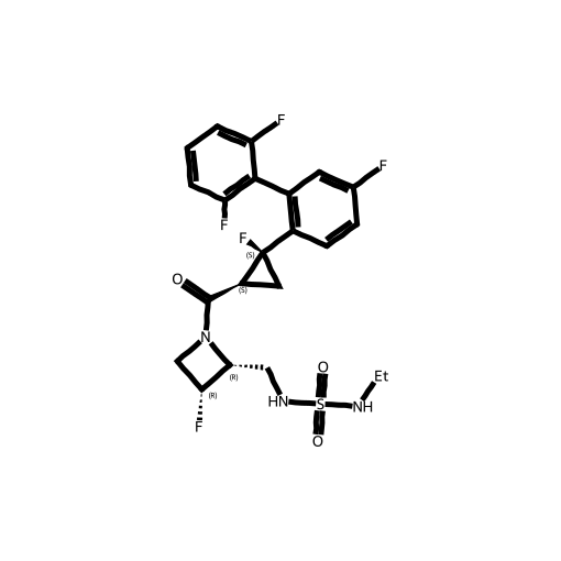 CCNS(=O)(=O)NC[C@@H]1[C@H](F)CN1C(=O)[C@@H]1C[C@@]1(F)c1ccc(F)cc1-c1c(F)cccc1F